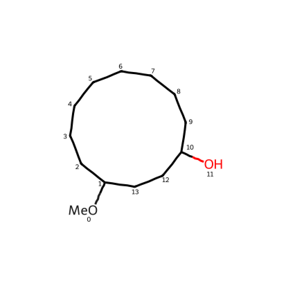 COC1CCCCCCCCC(O)CC1